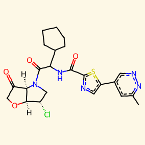 Cc1cc(-c2cnc(C(=O)NC(C(=O)N3C[C@H](Cl)[C@H]4OCC(=O)[C@H]43)C3CCCCC3)s2)cnn1